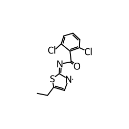 CCC1=C[N]C(=NC(=O)c2c(Cl)cccc2Cl)S1